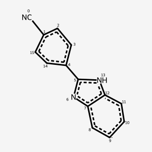 N#Cc1ccc(-c2nc3c[c]ccc3[nH]2)cc1